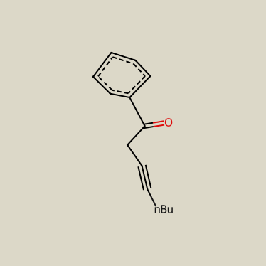 CCCCC#CCC(=O)c1ccccc1